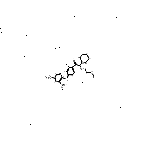 CCOCCSC(C(=O)c1ccc(Oc2ccc(OC)cc2OC)cc1)C1CCCCC1